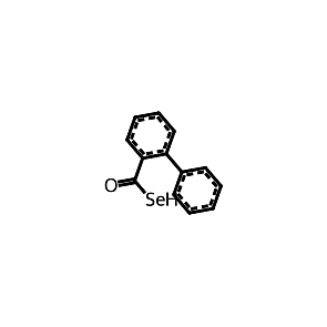 O=C([SeH])c1ccccc1-c1ccccc1